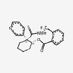 CNC(=S)[C@]1(c2cccnc2)CCCC[C@H]1OC(=O)c1ccccc1C(F)(F)F